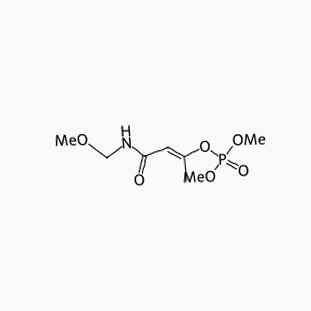 COCNC(=O)/C=C(\C)OP(=O)(OC)OC